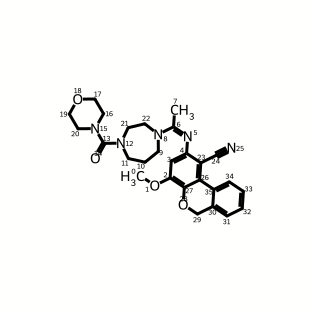 COc1cc(N=C(C)N2CCCN(C(=O)N3CCOCC3)CC2)c(C#N)c2c1OCc1ccccc1-2